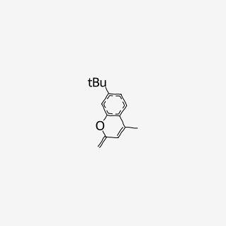 C=C1C=C(C)c2ccc(C(C)(C)C)cc2O1